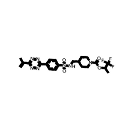 C=C(C)c1nnc(-c2ccc(S(=O)(=O)NCC3CCN(C(=O)OC(C)C(F)(F)F)CC3)cc2)nn1